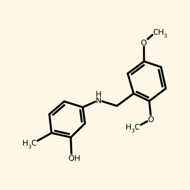 COc1ccc(OC)c(CNc2ccc(C)c(O)c2)c1